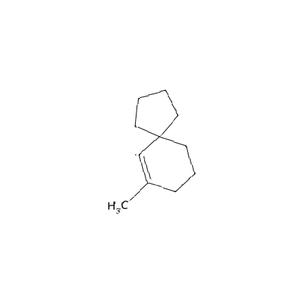 CC1=[C]C2(CCCC2)CCC1